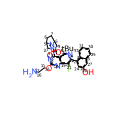 CC(C)(C)OC(=O)N1C2CCC1CN(c1nc(OCCN)nc3c(F)c(-c4cc(O)cc5ccccc45)ncc13)C2